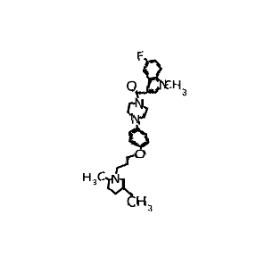 CCC1CCC(C)N(CCCOc2ccc(N3CCN(C(=O)c4cn(C)c5ccc(F)cc45)CC3)cc2)C1